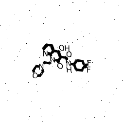 O=C(NC1CCC(F)(F)CC1)c1c(O)c2cccnc2n(CCN2CCOCC2)c1=O